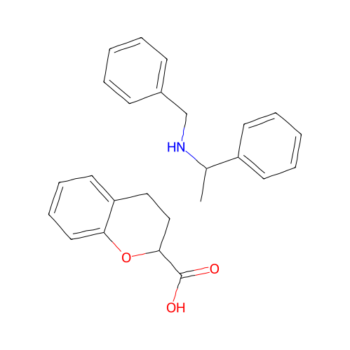 CC(NCc1ccccc1)c1ccccc1.O=C(O)C1CCc2ccccc2O1